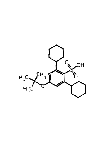 CC(C)(C)Oc1cc(C2CCCCC2)c(S(=O)(=O)O)c(C2CCCCC2)c1